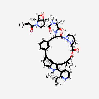 C=CC(=O)N1C[C@@H](C(=O)N(C)[C@H](C(=O)N[C@H]2Cc3cccc(c3)-c3ccc4c(c3)c(c(-c3cccnc3[C@H](C)OC)n4CC)CC(C)(C)COC(=O)[C@@H]3CCCN(N3)C2=O)C(C)C)[C@H]2OC[C@H]21